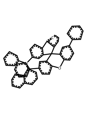 c1ccc(-c2ccc3c(c2)C2(c4cc(-c5ccccc5)ccc4O3)c3ccccc3-c3ccc(N(c4ccccc4)c4cccc5ccccc45)cc32)cc1